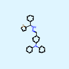 C(=NNC(c1ccccc1)c1cccs1)c1ccc(N(c2ccccc2)c2ccccc2)cc1